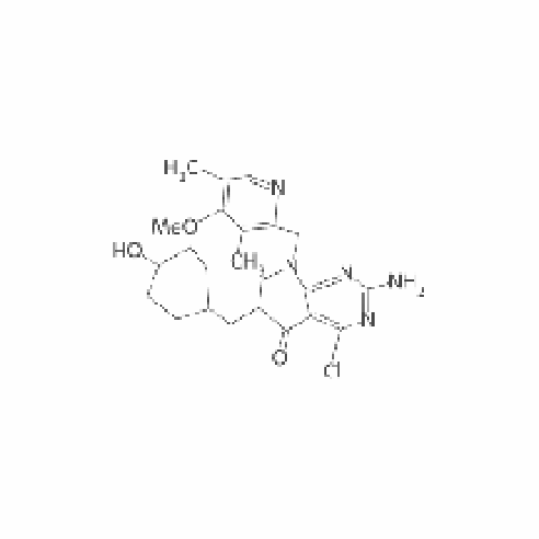 COc1c(C)cnc(CN2CC(CC3CCC(O)CC3)C(=O)c3c(Cl)nc(N)nc32)c1C